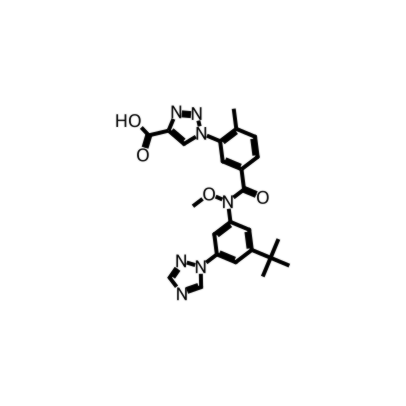 CON(C(=O)c1ccc(C)c(-n2cc(C(=O)O)nn2)c1)c1cc(-n2cncn2)cc(C(C)(C)C)c1